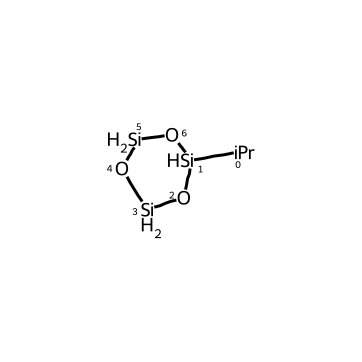 CC(C)[SiH]1O[SiH2]O[SiH2]O1